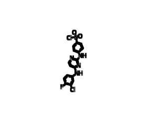 O=S(=O)(Cl)c1ccc(Nc2nccc(Nc3ccc(F)c(Cl)c3)n2)cc1